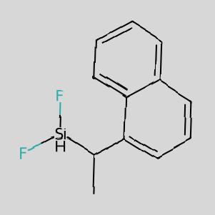 CC(c1cccc2ccccc12)[SiH](F)F